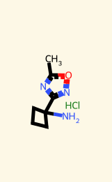 Cc1nc(C2(N)CCC2)no1.Cl